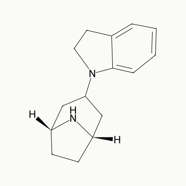 c1ccc2c(c1)CCN2C1C[C@H]2CC[C@@H](C1)N2